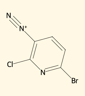 N#[N+]c1ccc(Br)nc1Cl